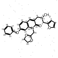 CN(Cc1ccco1)Cc1cc2ccc(Oc3ccccc3)cc2n(CC2OCCO2)c1=O